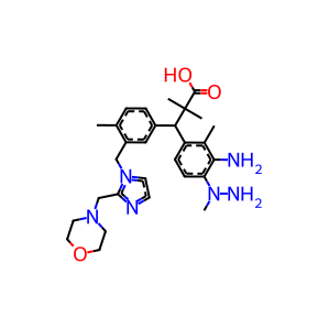 Cc1ccc(C(c2ccc(N(C)N)c(N)c2C)C(C)(C)C(=O)O)cc1Cn1ccnc1CN1CCOCC1